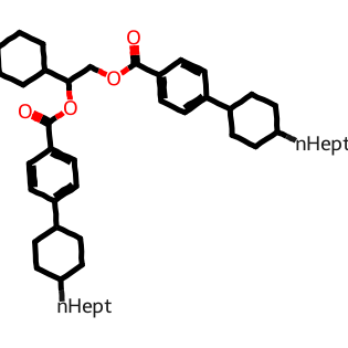 CCCCCCCC1CCC(c2ccc(C(=O)OCC(OC(=O)c3ccc(C4CCC(CCCCCCC)CC4)cc3)C3CCCCC3)cc2)CC1